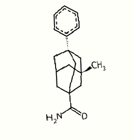 C[C@]12CC3CC(C(N)=O)(C1)C[C@@](c1ccccc1)(C3)C2